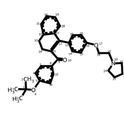 CC(C)(C)Oc1ccc(C(=O)C2=C(c3ccc(OCCN4CCCC4)cc3)c3ccccc3CC2)cc1